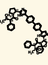 CN(C)[C@@H](C(=O)N1CCC[C@H]1c1ncc(-c2ccc(-c3ccc(-c4cnc([C@@H]5COC6(CCOCC6)N5C(=O)[C@@H](c5ccccc5)N(C)C)[nH]4)cc3)cc2)[nH]1)c1ccccc1